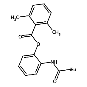 CCC(C)C(=O)Nc1ccccc1OC(=O)c1c(C)cccc1C